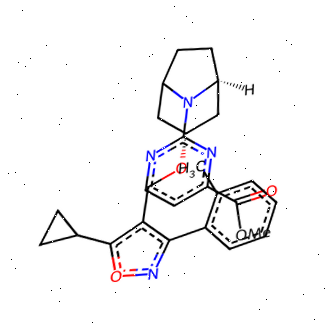 COC(=O)c1ccnc(N2C3CC[C@H]2C[C@H](OCc2c(-c4ccccc4C)noc2C2CC2)C3)n1